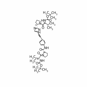 CC(C)[C@@H](NC(=O)OC(C)(C)C)C(=O)N1CCC[C@H]1C(=O)Nc1ccc(C#Cc2cnc([C@@H]3CCCN3C(=O)[C@H](NC(=O)OC(C)(C)C)C(C)C)[nH]2)cc1